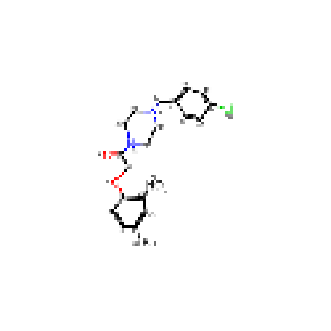 CC(C)(C)c1ccc(OCC(=O)N2CCN(Cc3ccc(Cl)cc3)CC2)c([N+](=O)[O-])c1